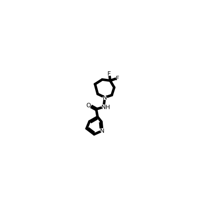 O=C(NN1CCCC(F)(F)CC1)c1cccnc1